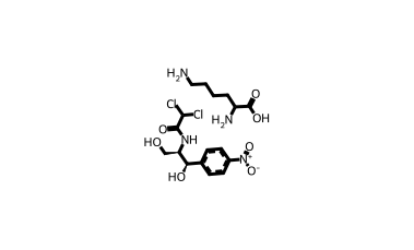 NCCCCC(N)C(=O)O.O=C(N[C@H](CO)[C@H](O)c1ccc([N+](=O)[O-])cc1)C(Cl)Cl